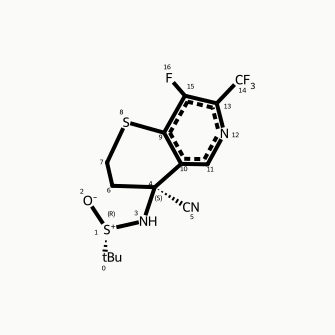 CC(C)(C)[S@+]([O-])N[C@@]1(C#N)CCSc2c1cnc(C(F)(F)F)c2F